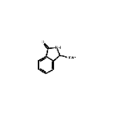 CO[C]1NC(=O)c2ccccc21